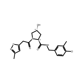 Cc1cc(CC(=O)N2C[C@H](O)C[C@H]2C(=O)NCc2ccc(Cl)c(C)c2)on1